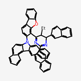 CCC1C(c2c(-n3c4cc5ccccc5cc4c4c5ccccc5ccc43)ccc3c2oc2ccccc23)=NC(c2ccc3ccccc3c2)=NC1c1ccc2ccccc2c1